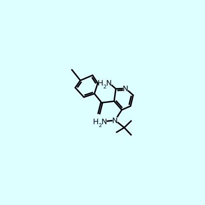 C=C(c1ccc(C)cc1)c1c(N(N)C(C)(C)C)ccnc1N